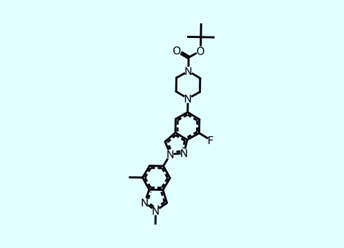 Cc1cc(-n2cc3cc(N4CCN(C(=O)OC(C)(C)C)CC4)cc(F)c3n2)cc2cn(C)nc12